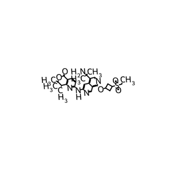 CCS(=O)(=O)C1CC(Oc2ncc(C(C)(C)N)c3cc(Nc4ccc5c(n4)[C@@H](C)C(C)(C)OC5=O)ncc23)C1